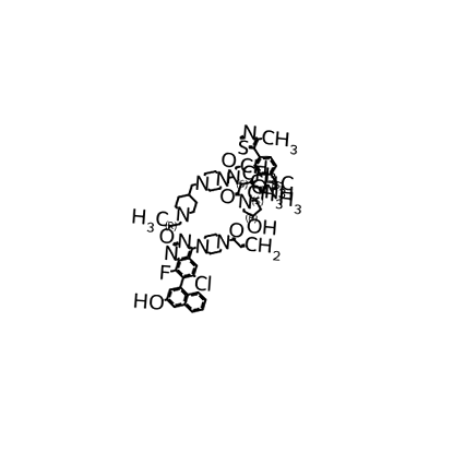 C=CC(=O)N1CCN(c2nc(O[C@H](C)CN3CCC(CN4CCN(N(C(C)=O)[C@H](C(=O)N5C[C@H](O)C[C@H]5C(=O)N[C@@H](C)c5ccc(-c6scnc6C)cc5)C(C)(C)C)CC4)CC3)nc3c(F)c(-c4cc(O)cc5ccccc45)c(Cl)cc23)CC1